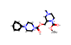 CN1CCN(C(=O)OC(C)(C)C)C(COC(=O)N2CCN(c3ccccc3)CC2)C1